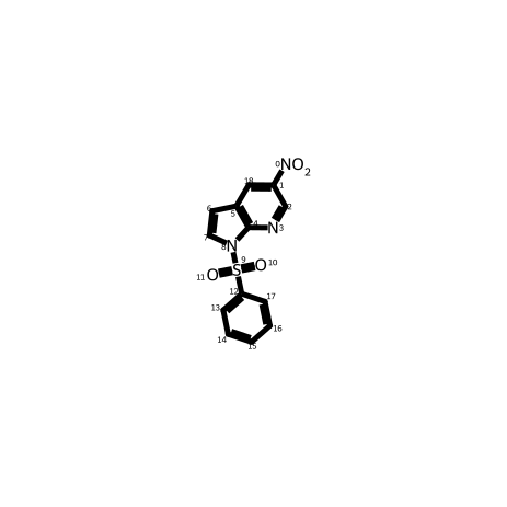 O=[N+]([O-])c1cnc2c(ccn2S(=O)(=O)c2ccccc2)c1